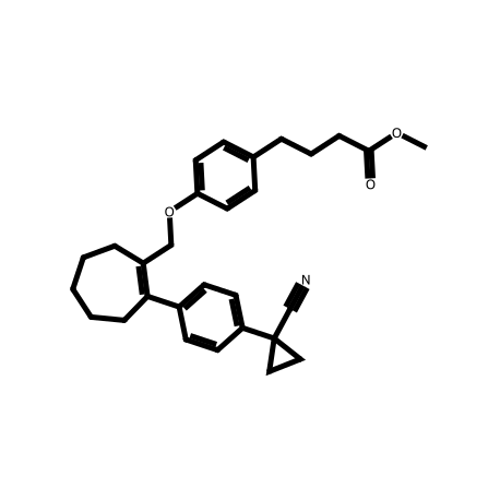 COC(=O)CCCc1ccc(OCC2=C(c3ccc(C4(C#N)CC4)cc3)CCCCC2)cc1